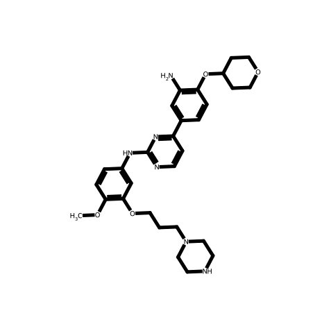 COc1ccc(Nc2nccc(-c3ccc(OC4CCOCC4)c(N)c3)n2)cc1OCCCN1CCNCC1